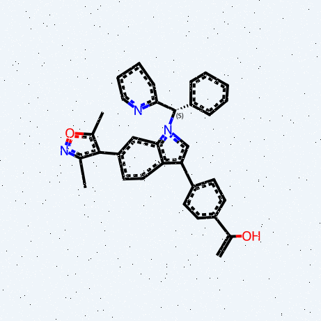 C=C(O)c1ccc(-c2cn([C@@H](c3ccccc3)c3ccccn3)c3cc(-c4c(C)noc4C)ccc23)cc1